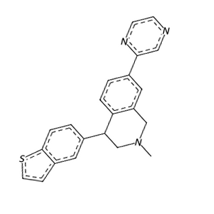 CN1Cc2cc(-c3cnccn3)ccc2C(c2ccc3sccc3c2)C1